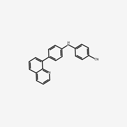 N#Cc1ccc(Nc2ccc(-c3cccc4cccnc34)cc2)cc1